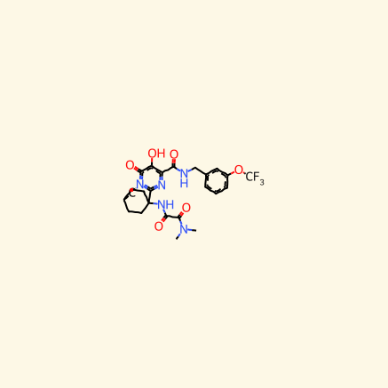 CN(C)C(=O)C(=O)NC12CCC(CC1)Cn1c2nc(C(=O)NCc2cccc(OC(F)(F)F)c2)c(O)c1=O